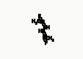 Cc1cc(F)ccc1/N=N/c1ccc(NCCNc2ccc(/N=N/c3ccc(F)cc3C)cc2)cc1